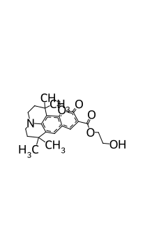 CC1(C)CCN2CCC(C)(C)c3c2c1cc1cc(C(=O)OCCO)c(=O)oc31